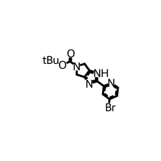 CC(C)(C)OC(=O)N1Cc2nc(-c3cc(Br)ccn3)[nH]c2C1